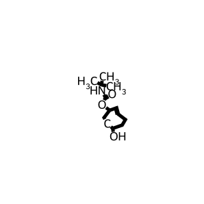 CC(C)(C)NC(=O)OC1/C=C/CCC(O)CC1